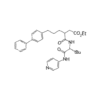 CCOC(=O)CC(CCCc1ccc(-c2ccccc2)cc1)C(=O)NC(C(=O)Nc1ccncc1)C(C)(C)C